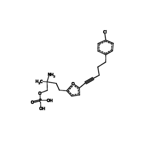 CC(N)(CCc1ccc(C#CCCCc2ccc(Cl)cc2)o1)COP(=O)(O)O